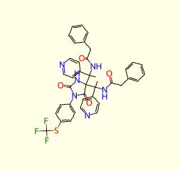 CC(NC(=O)Cc1ccccc1)(c1ccncc1)C1(C(C)(NC(=O)Cc2ccccc2)c2ccncc2)NC(=O)N(c2ccc(SC(F)(F)F)cc2)C1=O